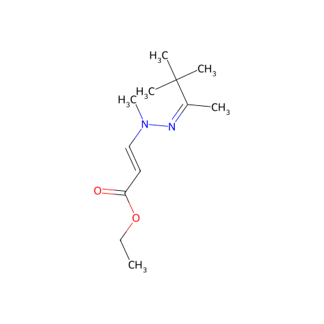 CCOC(=O)C=CN(C)N=C(C)C(C)(C)C